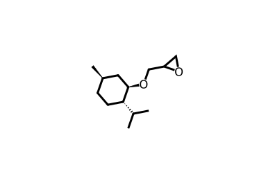 CC(C)[C@@H]1CC[C@@H](C)C[C@H]1OCC1CO1